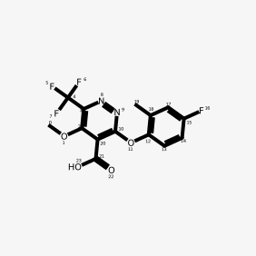 COc1c(C(F)(F)F)nnc(Oc2ccc(F)cc2C)c1C(=O)O